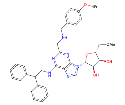 COC[C@H]1O[C@@H](n2cnc3c(NCC(c4ccccc4)c4ccccc4)nc(CNCc4ccc(OC(C)C)cc4)nc32)[C@H](O)[C@@H]1O